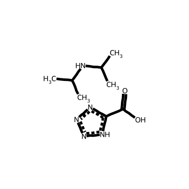 CC(C)NC(C)C.O=C(O)c1nnn[nH]1